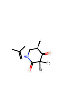 C=C(C)C.CCC1(CC)C(=O)NC[C@@H](C)C1=O